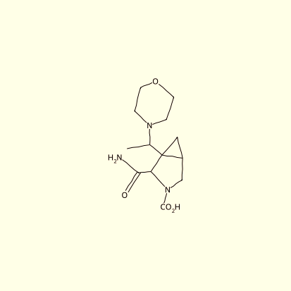 CC(N1CCOCC1)C12CC1CN(C(=O)O)C2C(N)=O